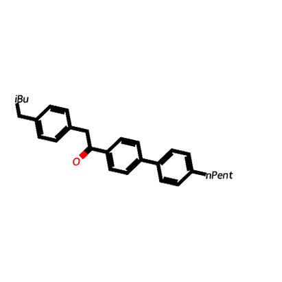 CCCCCc1ccc(-c2ccc(C(=O)Cc3ccc(CC(C)CC)cc3)cc2)cc1